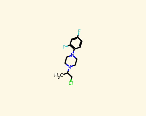 CC(CCl)N1CCN(c2ccc(F)cc2F)CC1